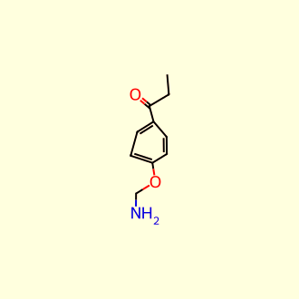 CCC(=O)c1ccc(OCN)cc1